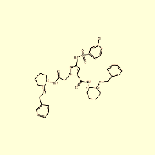 O=C(Cn1nc(NS(=O)(=O)c2cccc(Cl)c2)cc1C(=O)N[C@H]1CCCC[C@@H]1OCc1ccccc1)N[C@H]1CCCC[C@@H]1OCc1ccccc1